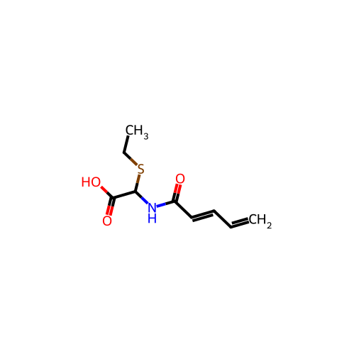 C=CC=CC(=O)NC(SCC)C(=O)O